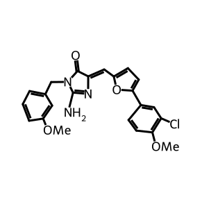 COc1cccc(CN2C(=O)C(=Cc3ccc(-c4ccc(OC)c(Cl)c4)o3)N=C2N)c1